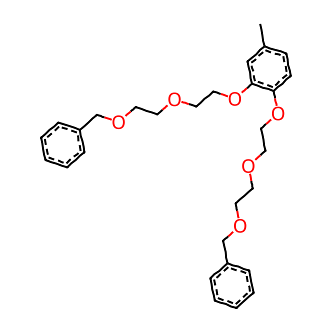 Cc1ccc(OCCOCCOCc2ccccc2)c(OCCOCCOCc2ccccc2)c1